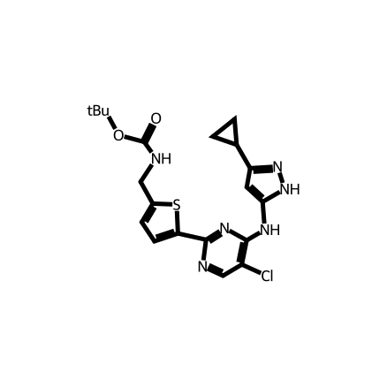 CC(C)(C)OC(=O)NCc1ccc(-c2ncc(Cl)c(Nc3cc(C4CC4)n[nH]3)n2)s1